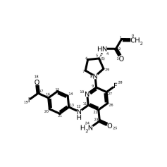 C=CC(=O)N[C@H]1CCN(c2nc(Nc3ccc(C(=O)I)cc3)c(C(N)=O)cc2F)C1